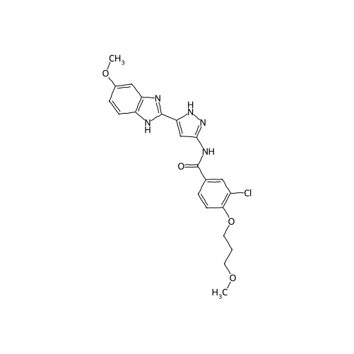 COCCCOc1ccc(C(=O)Nc2cc(-c3nc4cc(OC)ccc4[nH]3)[nH]n2)cc1Cl